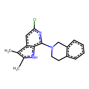 Cc1[nH]c2c(N3CCc4ccccc4C3)nc(Cl)cc2c1C